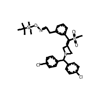 CC(C)(C)[Si](C)(C)ON=CCc1cccc(C(=C2CN(C(c3ccc(Cl)cc3)c3ccc(Cl)cc3)C2)S(C)(=O)=O)c1